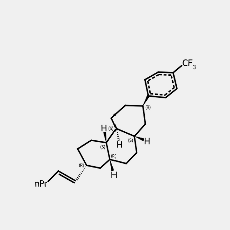 CCCC=C[C@@H]1CC[C@H]2[C@H](CC[C@H]3C[C@H](c4ccc(C(F)(F)F)cc4)CC[C@@H]32)C1